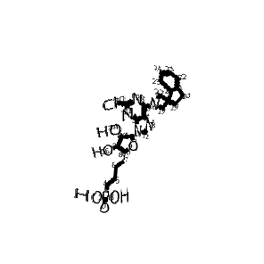 O=P(O)(O)CCCC[C@H]1O[C@@H](n2cnc3c(N4CC5(CCc6ccccc65)C4)nc(Cl)nc32)C(O)C1O